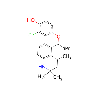 CC1=CC(C)(C)Nc2ccc3c(c21)C(C(C)C)Oc1ccc(O)c(Cl)c1-3